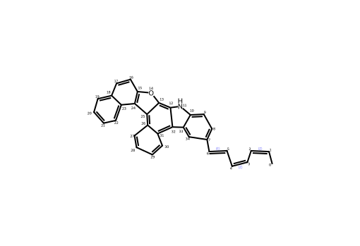 C\C=C/C=C\C=C\c1ccc2[nH]c3c4oc5ccc6ccccc6c5c4c4ccccc4c3c2c1